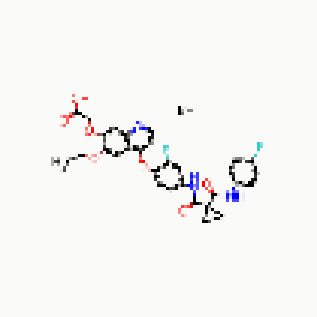 CCOc1cc2c(Oc3ccc(NC(=O)C4(C(=O)Nc5ccc(F)cc5)CC4)cc3F)ccnc2cc1OCC(=O)O.[KH]